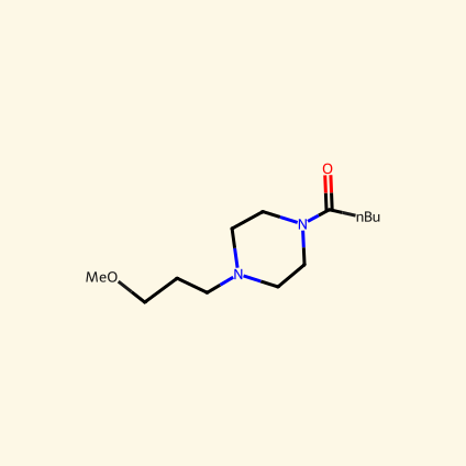 [CH2]CCCC(=O)N1CCN(CCCOC)CC1